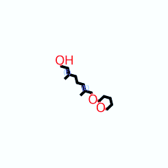 C/C(=C\CO)CC/C=C(\C)COC1CCCCO1